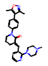 Cc1noc(C)c1-c1ccc(N2CCC/C(=C\c3cccnc3N3CCN(C)CC3)C2=O)cc1